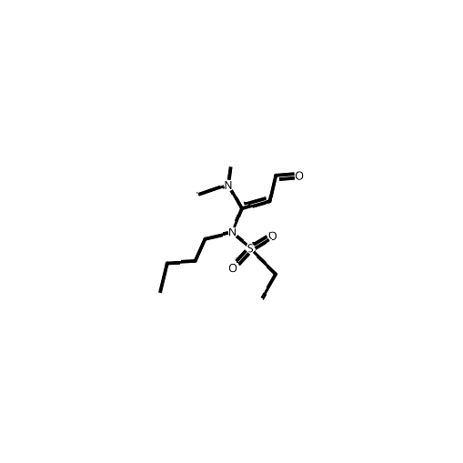 CCCCN(C(=CC=O)N(C)C)S(=O)(=O)CC